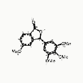 COc1ccc2c(c1)C(c1cc(OC)c(OC)c(OC)c1)OC2=O